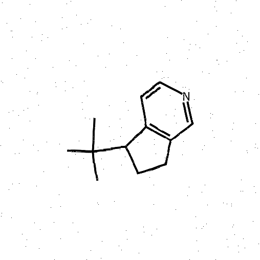 CC(C)(C)C1CCc2cnccc21